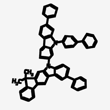 CC1(C)c2ccccc2-c2cc3c4cc(-c5ccccc5)ccc4n(-c4ccc5c6ccc(-c7ccccc7)cc6n(-c6ccc(-c7ccccc7)cc6)c5c4)c3cc21